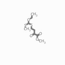 CCOC(SC)SCCC(=O)C(=O)OC